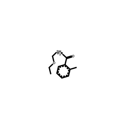 CCOC[SiH3].Cc1ccccc1C(N)=O